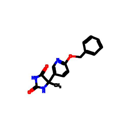 CC1(c2ccc(OCc3ccccc3)nc2)NC(=O)NC1=O